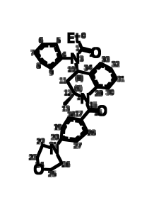 CCC(=O)N(c1ccccc1)[C@@H]1C[C@H](C)N(C(=O)c2ccc(N3CCOCC3)cc2)c2ccccc21